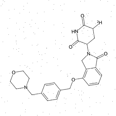 [2H]C1CC(N2Cc3c(OCc4ccc(CN5CCOCC5)cc4)cccc3C2=O)C(=O)NC1=O